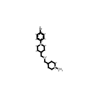 CN1CCC(COCC2CCN(c3ccc(Br)cc3)CC2)CC1